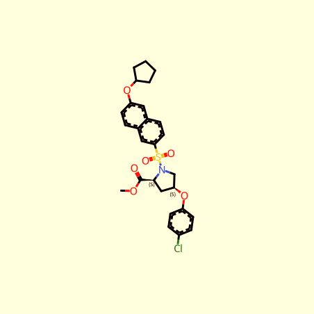 COC(=O)[C@@H]1C[C@H](Oc2ccc(Cl)cc2)CN1S(=O)(=O)c1ccc2cc(OC3CCCC3)ccc2c1